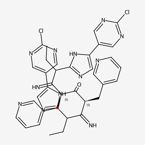 CCC(C(=N)[C@H](Cc1cccnc1)C(=O)[C@@H](Cc1cccnc1)C(=N)C(CC)c1ncc(-c2cnc(Cl)nc2)[nH]1)c1ncc(-c2cnc(Cl)nc2)[nH]1